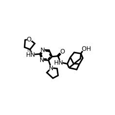 O=C(NC1C2CC3CC1CC(O)(C3)C2)c1cnc(N[C@H]2CCOC2)nc1N1CCCC1